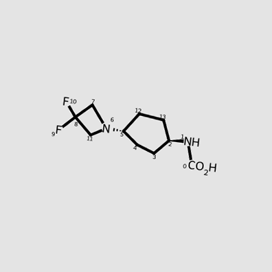 O=C(O)N[C@H]1CC[C@H](N2CC(F)(F)C2)CC1